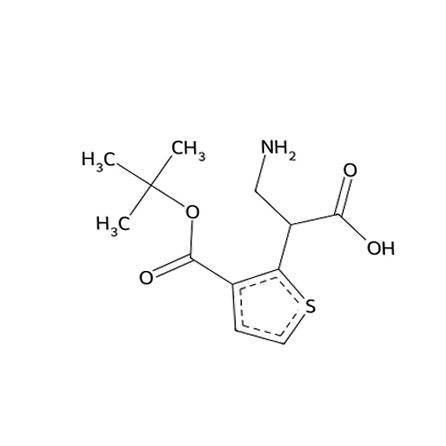 CC(C)(C)OC(=O)c1ccsc1C(CN)C(=O)O